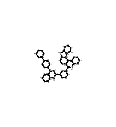 c1ccc(-c2ccc(-c3nc(-c4cccc(-c5nc6ccccc6c6c5ccc5sc7ccccc7c56)c4)nc4ccccc34)cc2)cc1